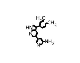 C=C/C=C\C(=C/C=C)c1c[nH]c2ncc(-c3cncc(N)c3)cc12